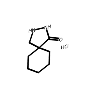 Cl.O=C1NNCC12CCCCC2